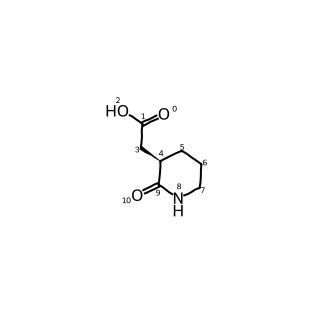 O=C(O)C[C@H]1CCCNC1=O